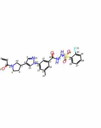 C=CC(=O)N1CCC(c2cnn(-c3cc(C)cc(C(=O)NNS(=O)(=O)c4ccccc4F)c3)c2)C1